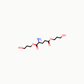 N[C@@H](CCC(=O)OCCCO)C(=O)OCCCO